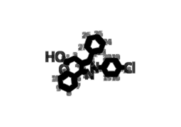 O=C(O)Cc1c(-c2ccccc2)nn(-c2ccc(Cl)cc2)c1-c1ccccc1